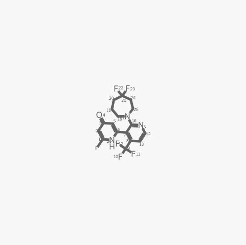 Cc1cc(=O)cc(-c2c(C(F)(F)F)ccnc2N2CCCC(F)(F)CC2)[nH]1